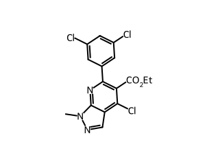 CCOC(=O)c1c(-c2cc(Cl)cc(Cl)c2)nc2c(cnn2C)c1Cl